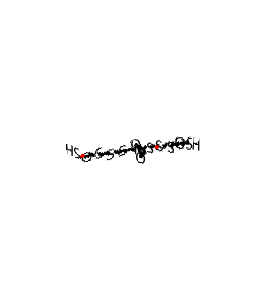 O=C1CC(CSCCSCCSCCOCCS)C(=O)N1CCCSCCSCCSCCOCCS